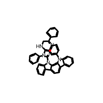 c1ccc(C2=Nc3nc(-n4c5ccccc5c5ccc6c7ccccc7n(-c7ccccc7)c6c54)n(-c4ccccc4)c3NC2)cc1